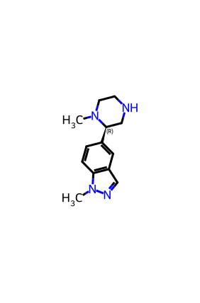 CN1CCNC[C@H]1c1ccc2c(cnn2C)c1